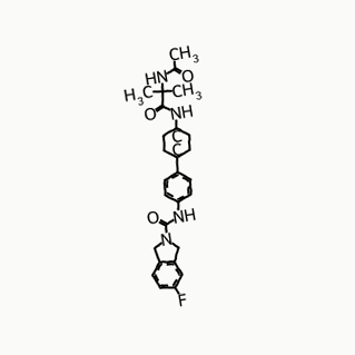 CC(=O)NC(C)(C)C(=O)NC12CCC(c3ccc(NC(=O)N4Cc5ccc(F)cc5C4)cc3)(CC1)CC2